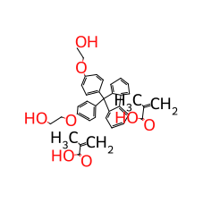 C=C(C)C(=O)O.C=C(C)C(=O)O.OCCOc1ccc(C2(c3ccc(OCCO)cc3)c3ccccc3-c3ccccc32)cc1